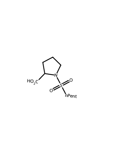 CCCCCS(=O)(=O)N1CCCC1C(=O)O